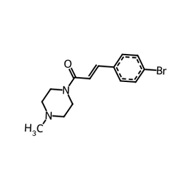 CN1CCN(C(=O)C=Cc2ccc(Br)cc2)CC1